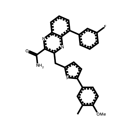 COc1ccc(-c2ccc(Cc3nc4c(-c5cccc(F)c5)cccc4nc3C(N)=O)s2)cc1C